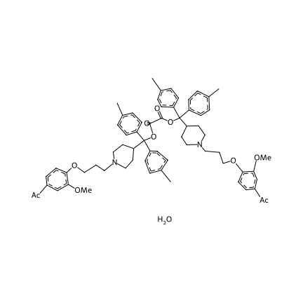 COc1cc(C(C)=O)ccc1OCCCN1CCC(C(OC(=O)C(=O)OC(c2ccc(C)cc2)(c2ccc(C)cc2)C2CCN(CCCOc3ccc(C(C)=O)cc3OC)CC2)(c2ccc(C)cc2)c2ccc(C)cc2)CC1.O